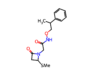 CSC1CC(=O)N1CC(=O)NOCC(C)c1ccccc1